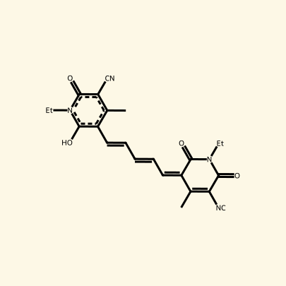 [C-]#[N+]C1=C(C)/C(=C/C=CC=Cc2c(C)c(C#N)c(=O)n(CC)c2O)C(=O)N(CC)C1=O